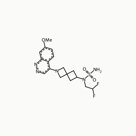 COc1ccc2c(N3CC4(CC(N(CC(F)F)S(N)(=O)=O)C4)C3)cnnc2c1